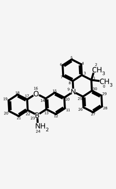 CC1(C)c2ccccc2N(c2ccc3c(c2)Oc2ccccc2B3N)c2ccccc21